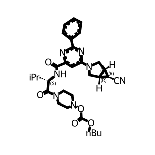 CCCCOC(=O)ON1CCN(C(=O)[C@@H](NC(=O)c2cc(N3C[C@@H]4[C@@H](C#N)[C@@H]4C3)nc(-c3ccccc3)n2)C(C)C)CC1